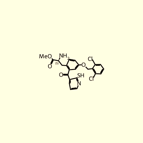 COC(=O)[C@@H](N)Cc1ccc(OCc2c(Cl)cccc2Cl)cc1C(=O)c1cccnc1S